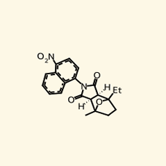 CCC12CCC(C)(O1)[C@H]1C(=O)N(c3ccc([N+](=O)[O-])c4ccccc34)C(=O)[C@H]12